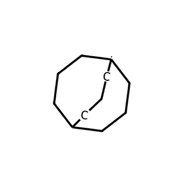 C1C[C]2CCCC(C1)CCC2